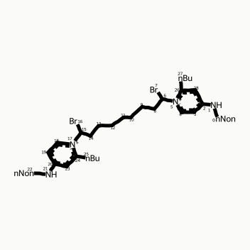 CCCCCCCCCNc1cc[n+](C(Br)CCCCCCCC(Br)[n+]2ccc(NCCCCCCCCC)cc2CCCC)c(CCCC)c1